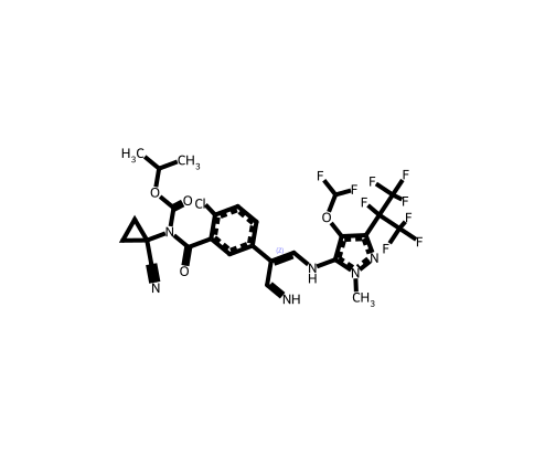 CC(C)OC(=O)N(C(=O)c1cc(/C(C=N)=C/Nc2c(OC(F)F)c(C(F)(C(F)(F)F)C(F)(F)F)nn2C)ccc1Cl)C1(C#N)CC1